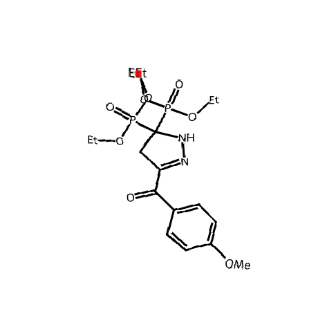 CCOP(=O)(OCC)C1(P(=O)(OCC)OCC)CC(C(=O)c2ccc(OC)cc2)=NN1